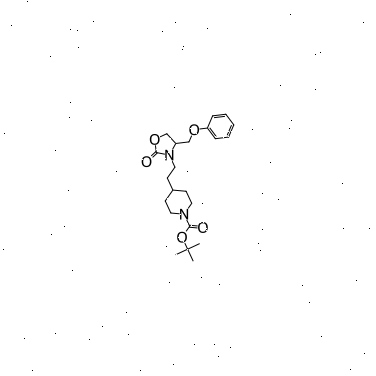 CC(C)(C)OC(=O)N1CCC(CCN2C(=O)OCC2COc2ccccc2)CC1